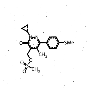 CSc1ccc(-c2nn(C3CC3)c(=O)c(COS(C)(=O)=O)c2C)cc1